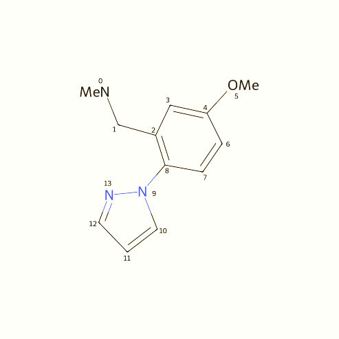 CNCc1cc(OC)ccc1-n1cccn1